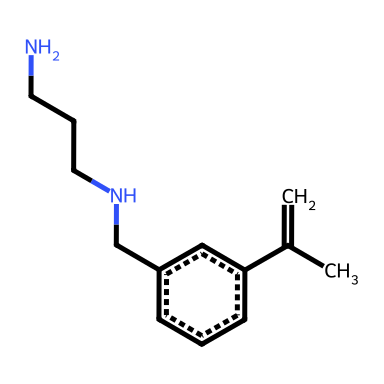 C=C(C)c1cccc(CNCCCN)c1